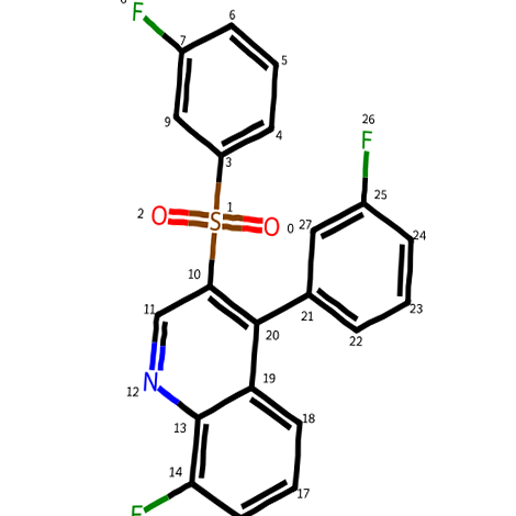 O=S(=O)(c1cccc(F)c1)c1cnc2c(F)cccc2c1-c1cccc(F)c1